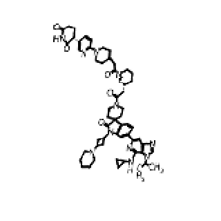 CC(C)n1cnc2cc(-c3ccc4c(c3)N(C3CC(N5CCCCC5)C3)C(=O)C43CCN(C(=O)C[C@H]4CCCN(C(=O)CC5CCN(c6ccc([C@H]7CCC(=O)NC7=O)cn6)CC5)C4)CC3)nc(NC3CC3)c21